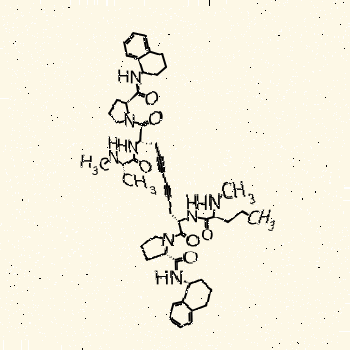 CCC[C@H](NC)C(=O)N[C@@H](CC#CC#CC[C@H](NC(=O)[C@H](C)NC)C(=O)N1CCC[C@H]1C(=O)N[C@@H]1CCCc2ccccc21)C(=O)N1CCC[C@H]1C(=O)N[C@@H]1CCCc2ccccc21